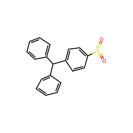 O=[SH](=O)c1ccc(C(c2ccccc2)c2ccccc2)cc1